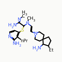 CCCc1c(SC(/C(N)=N\C)N(C)/C=C/N2CCC3(CCC(CC)C3N)CC2)ccnc1N